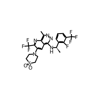 Cc1nnc(N[C@H](C)c2cccc(C(F)(F)F)c2F)c2cc(N3CCS(=O)(=O)CC3)c(C(F)(F)F)nc12